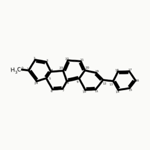 Cc1ccc2c(ccc3c4ccc(-c5ccccc5)cc4ccc23)c1